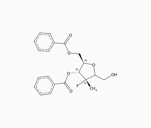 C[C@]1(F)C(CO)O[C@H](COC(=O)c2ccccc2)[C@H]1OC(=O)c1ccccc1